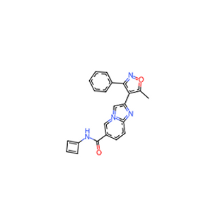 Cc1onc(-c2ccccc2)c1-c1cn2cc(C(=O)NC3=CC=C3)ccc2n1